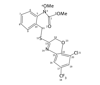 COC(=O)N(OC)c1ccccc1CSC1=Nc2cc(C(F)(F)F)cc(Cl)c2OC1